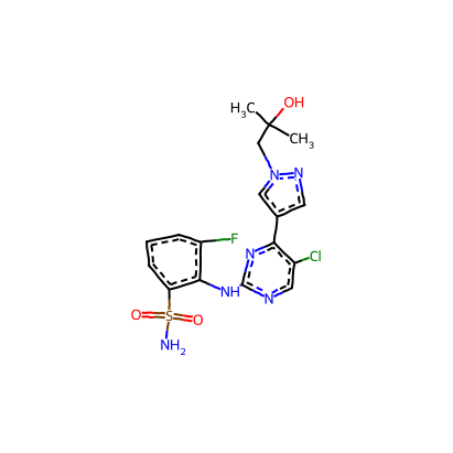 CC(C)(O)Cn1cc(-c2nc(Nc3c(F)cccc3S(N)(=O)=O)ncc2Cl)cn1